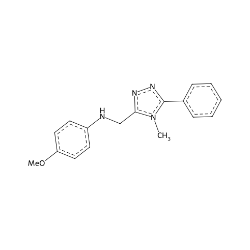 COc1ccc(NCc2nnc(-c3ccccc3)n2C)cc1